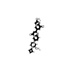 Cc1cn2cc(-c3cc(=O)n4cc(N5CCN(C6CCC6)[C@@H](C)C5)ccc4n3)cc(Cl)c2n1